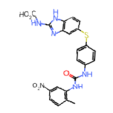 Cc1ccc([N+](=O)[O-])cc1NC(=O)Nc1ccc(Sc2ccc3[nH]c(NC(=O)O)nc3c2)cc1